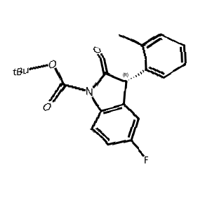 Cc1ccccc1[C@H]1C(=O)N(C(=O)OC(C)(C)C)c2ccc(F)cc21